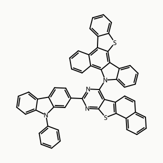 c1ccc(-n2c3ccccc3c3ccc(-c4nc(-n5c6ccccc6c6c7sc8ccccc8c7c7ccccc7c65)c5c(n4)sc4c6ccccc6ccc45)cc32)cc1